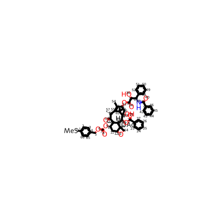 CSc1ccc(COC(=O)O[C@H]2CC3OC[C@@]3(OC(C)=O)[C@H]3[C@H](OC(=O)c4ccccc4)[C@]4(O)CC(OC(=O)C(O)[C@@H](NC(=O)c5ccccc5)c5ccccc5)C(C)=C([C@@H](C)C(=O)[C@]23C)C4(C)C)cc1